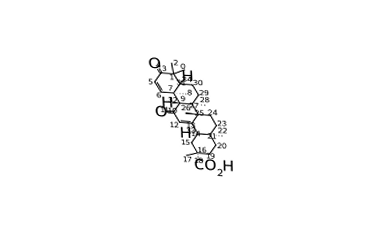 CC1(C)C(=O)C=C[C@]2(C)[C@H]3C(=O)C=C4[C@@H]5C[C@@](C)(C(=O)O)CC[C@]5(C)CC[C@@]4(C)[C@]3(C)CC[C@@H]12